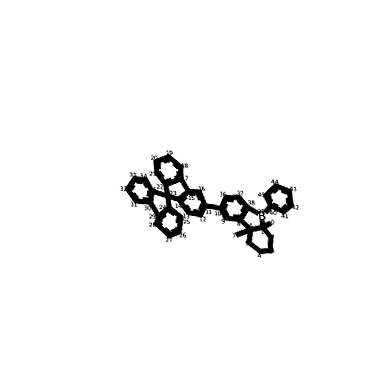 CC12CCCCC1(C)c1cc(-c3ccc4c(c3)-c3ccccc3C43c4ccccc4-c4ccccc43)ccc1B2c1ccccc1